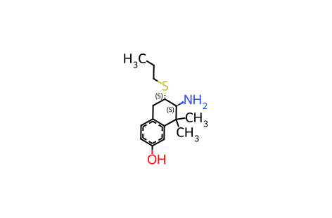 CCCS[C@H]1Cc2ccc(O)cc2C(C)(C)[C@@H]1N